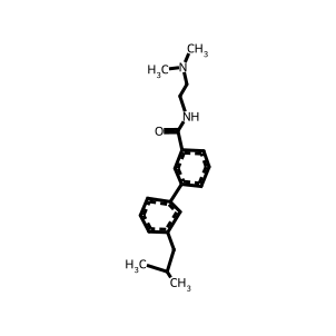 CC(C)Cc1cccc(-c2cccc(C(=O)NCCN(C)C)c2)c1